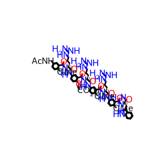 COc1ccc(NC(=O)[C@H](CCCNC(=N)N)NC(=O)c2cc(NC(=O)[C@H](CCCNC(=N)N)NC(=O)c3cc(NC(=O)[C@H](CCCNC(=N)N)NC(=O)c4cc(NC(C)=O)ccc4OC)ccc3OCC(=O)O)ccc2OC)cc1C(=O)N[C@@H](Cc1c[nH]c2ccccc12)C(N)=O